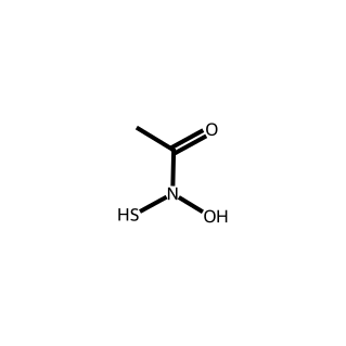 CC(=O)N(O)S